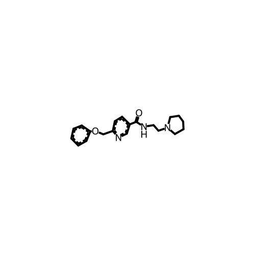 O=C(NCCN1CCCCC1)c1ccc(COc2ccccc2)nc1